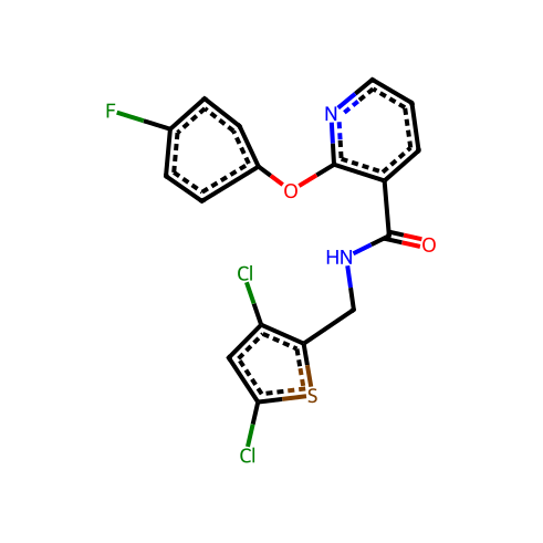 O=C(NCc1sc(Cl)cc1Cl)c1cccnc1Oc1ccc(F)cc1